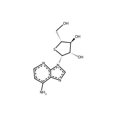 Nc1ccnc2c1ncn2[C@@H]1S[C@H](CO)[C@@H](O)[C@@H]1O